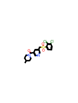 CC1CCN(C(=O)c2cncc(CS(=O)(=O)c3cccc(Cl)c3Cl)c2)CC1